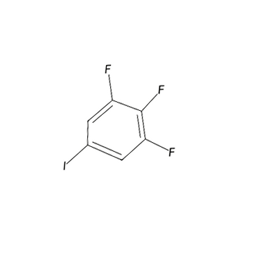 Fc1cc(I)cc(F)c1F